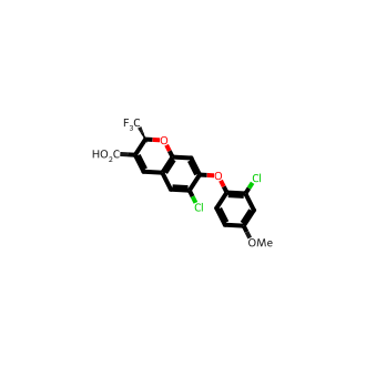 COc1ccc(Oc2cc3c(cc2Cl)C=C(C(=O)O)[C@@H](C(F)(F)F)O3)c(Cl)c1